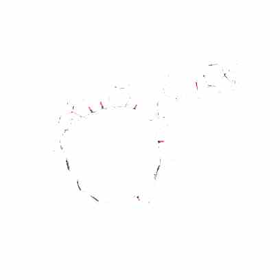 CO[C@@H]1/C=C/C=C/C=C/[C@@H](C)C[C@@H](C)C(=O)[C@H](OC)[C@H](O)/C(C)=C/[C@@H](C)C(=O)C[C@@H]([C@H](C)C[C@@H]2CC[C@@H](OC(=O)C3(C)COC(C)(C)OC3)[C@H](O[13CH3])C2)OC(=O)[C@@H]2CCCCN2C(=O)C(=O)[C@]2(O)O[C@@H](CC[C@H]2C)C1